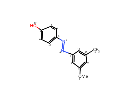 COc1cc(N=Nc2ccc(O)cc2)cc(C(F)(F)F)c1